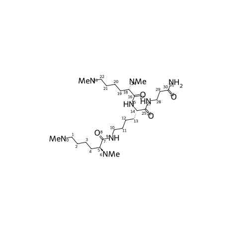 CNCCCC[C@H](NC)C(=O)NCCCC[C@H](NC(=O)[C@H](CCCCNC)NC)C(=O)NCCC(N)=O